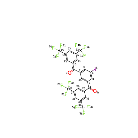 O=C(c1cc(I)cc(C(=O)c2cc(C(F)(F)F)cc(C(F)(F)F)c2)c1)c1cc(C(F)(F)F)cc(C(F)(F)F)c1